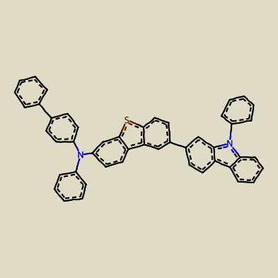 c1ccc(-c2ccc(N(c3ccccc3)c3ccc4c(c3)sc3ccc(-c5ccc6c7ccccc7n(-c7ccccc7)c6c5)cc34)cc2)cc1